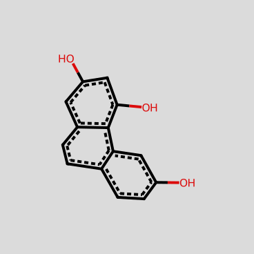 Oc1cc(O)c2c(ccc3ccc(O)cc32)c1